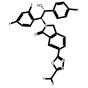 O=C1c2cc(-c3nnc(C(F)F)o3)ccc2CN1[C@@H](c1ccc(F)cc1F)[C@H](O)c1ccc(F)cc1